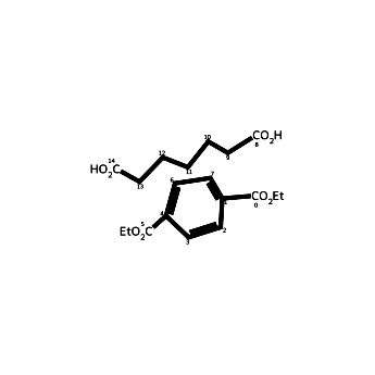 CCOC(=O)c1ccc(C(=O)OCC)cc1.O=C(O)CCCCCC(=O)O